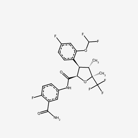 C[C@H]1[C@H](c2ccc(F)cc2OC(F)F)[C@H](C(=O)Nc2ccc(F)c(C(N)=O)c2)O[C@]1(C)C(F)(F)F